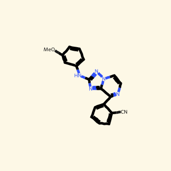 COc1cccc(Nc2nc3c(-c4ccccc4C#N)nccn3n2)c1